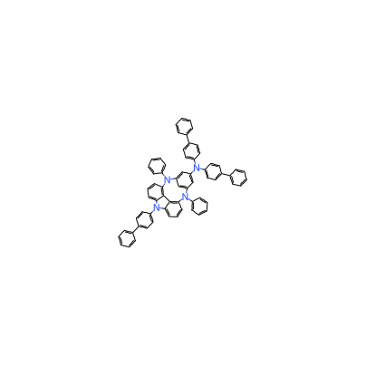 c1ccc(-c2ccc(N(c3ccc(-c4ccccc4)cc3)c3cc4cc(c3)N(c3ccccc3)c3cccc5c3c3c(cccc3n5-c3ccc(-c5ccccc5)cc3)N4c3ccccc3)cc2)cc1